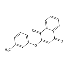 Cc1cccc(OC2=CC(=O)c3ccccc3C2=O)c1